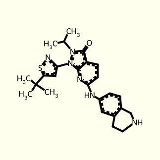 CC(C)n1c(=O)c2ccc(Nc3ccc4c(c3)CCNC4)nc2n1-c1cc(C(C)(C)C)sn1